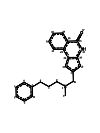 CN(CCCc1ccccc1)Cc1cc2[nH]c(=O)c3ccccc3n2c1